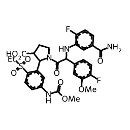 CCS(=O)(=O)c1ccc(NC(=O)OC)cc1C1C(C(=O)O)CCN1C(=O)C(Nc1cc(C(N)=O)ccc1F)c1ccc(F)c(OC)c1